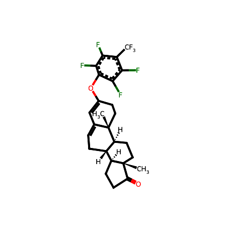 C[C@]12CCC(Oc3c(F)c(F)c(C(F)(F)F)c(F)c3F)=CC1=CC[C@@H]1[C@@H]2CC[C@]2(C)C(=O)CC[C@@H]12